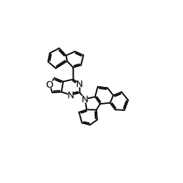 c1ccc2c(-c3nc(-n4c5ccccc5c5c6ccccc6ccc54)nc4cocc34)cccc2c1